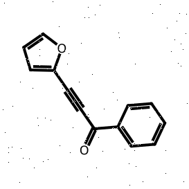 O=C(C#Cc1ccco1)c1ccccc1